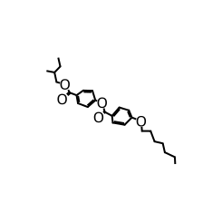 CCCCCCCOc1ccc(C(=O)Oc2ccc(C(=O)OCC(C)CC)cc2)cc1